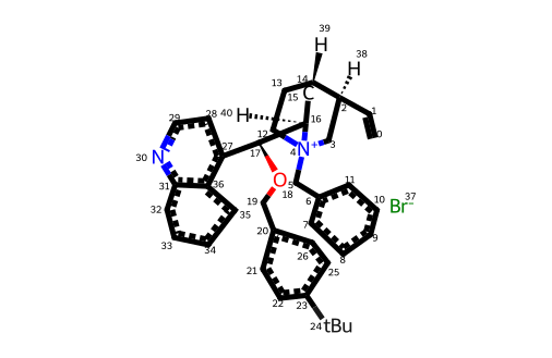 C=C[C@H]1C[N+]2(Cc3ccccc3)CC[C@H]1C[C@@H]2[C@@H](OCc1ccc(C(C)(C)C)cc1)c1ccnc2ccccc12.[Br-]